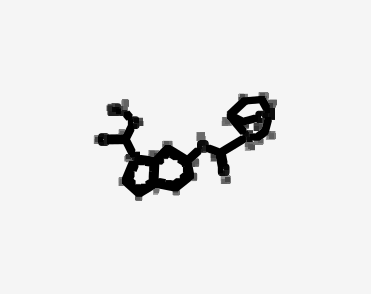 CC(C)(C)OC(=O)n1ccc2ccc(OC(=O)N3CCN4CCC3CC4)cc21